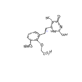 COc1cccc(/C=C/c2[nH]c(SC)nc(=O)c2C#N)c1OCC(=O)O